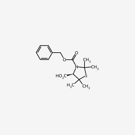 CC1(C)SC(C)(C)N(C(=O)OCc2ccccc2)[C@@H]1C(=O)O